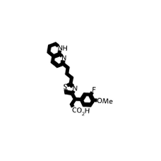 COc1ccc(C(CC(=O)O)c2csc(CCCc3ccc4c(n3)NCCC4)n2)cc1F